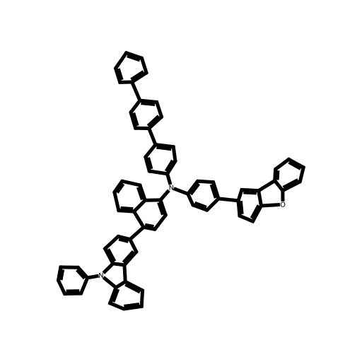 c1ccc(-c2ccc(-c3ccc(N(c4ccc(-c5ccc6oc7ccccc7c6c5)cc4)c4ccc(-c5ccc6c(c5)c5ccccc5n6-c5ccccc5)c5ccccc45)cc3)cc2)cc1